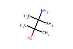 BC(B)(N)C(C)(C)O